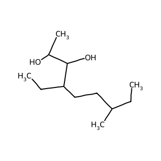 CCC(C)CCC(CC)C(O)C(C)O